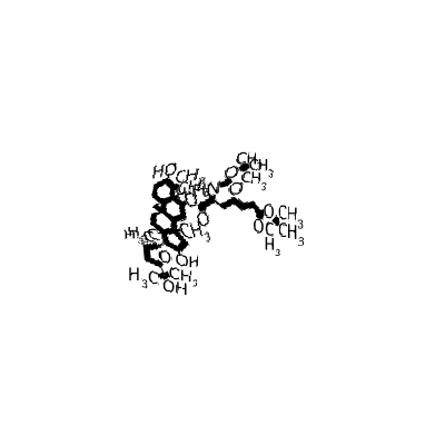 CC(C)(C)OC(=O)CCCC[C@H](NC(=O)OC(C)(C)C)C(=O)O[C@H]1CC2[C@]3(CC[C@]4(C)[C@@H]([C@@]5(C)CC[C@@H](C(C)(C)O)O5)[C@@H](O)C[C@@]24C)C[C@@]32CC[C@H](O)C(C)(C)[C@H]12